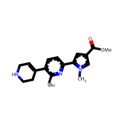 COC(=O)c1cc(-c2ccc(C3=CCNCC3)c(C(C)(C)C)n2)n(C)c1